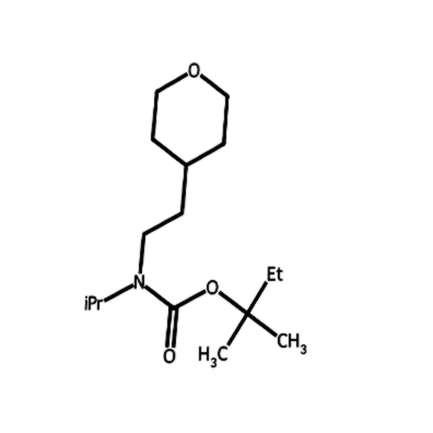 CCC(C)(C)OC(=O)N(CCC1CCOCC1)C(C)C